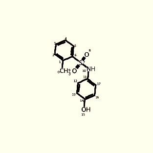 Cc1ccccc1S(=O)(=O)Nc1ccc(O)cc1